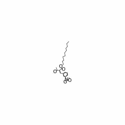 CCCCCCCCCCCOC(=O)C(=Cc1cccc([N+](=O)[O-])c1)C(C)=O